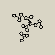 c1ccc(-c2ccccc2-c2cccc(-c3nc(-n4c5ccccc5c5cc(-c6cccc7c6c6ccccc6n7-c6ccccc6)ccc54)nc(-n4c5ccccc5c5cc(-c6cccc7c6c6ccccc6n7-c6ccccc6)ccc54)n3)c2)cc1